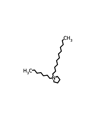 CCCCCCCCCCCC[N+]1(CCCCCCC)CCCC1